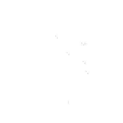 NC(=Nc1n[nH]c2cc(Cl)c(-c3ccccc3)cc12)c1ccccn1